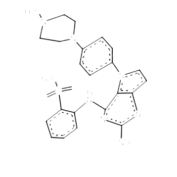 CN1CCN(c2ccc(-n3ccc4nc(N)nc(Nc5ccccc5S(C)(=O)=O)c43)cc2)CC1